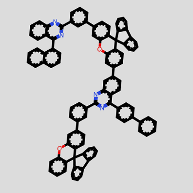 c1ccc(-c2ccc(-c3nc(-c4cccc(-c5ccc6c(c5)Oc5ccccc5C65c6ccccc6-c6ccccc65)c4)nc4cc(-c5ccc6c(c5)Oc5cc(-c7cccc(-c8nc(-c9cccc%10ccccc9%10)c9ccccc9n8)c7)ccc5C65c6ccccc6-c6ccccc65)ccc34)cc2)cc1